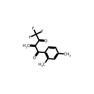 C=C(C(=O)c1ccc(C)cc1C)C(=O)C(F)(F)F